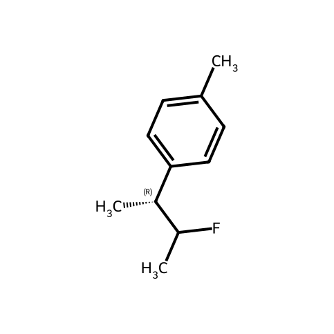 Cc1ccc([C@@H](C)C(C)F)cc1